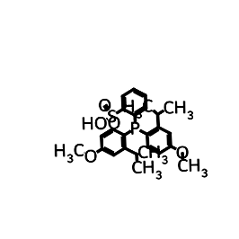 COc1ccc(P(c2ccc(OC)cc2C(C)C)c2ccccc2S(=O)(=O)O)c(C(C)C)c1